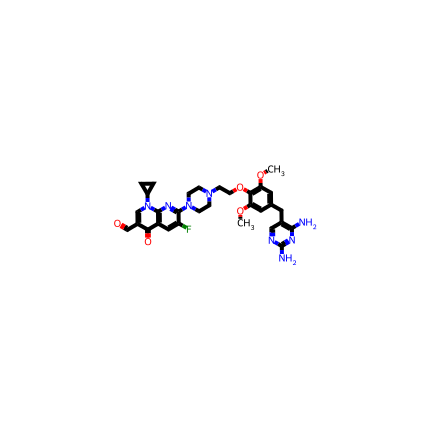 COc1cc(Cc2cnc(N)nc2N)cc(OC)c1OCCN1CCN(c2nc3c(cc2F)c(=O)c(C=O)cn3C2CC2)CC1